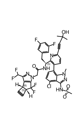 Cn1nc(NS(C)(=O)=O)c2c(Cl)ccc(-c3ccc(C#CC(C)(C)O)nc3[C@H](Cc3cc(F)cc(F)c3)NC(=O)Cn3nc(C(F)F)c4c3C(F)(F)[C@@H]3C#C[C@H]43)c21